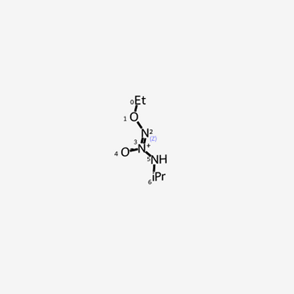 CCO/N=[N+](\[O-])NC(C)C